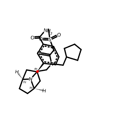 CS(=O)(=O)CC(=O)N(CCN1[C@@H]2CC[C@H]1C[C@@H](c1cccc(C(N)=O)c1)C2)CC1CCCC1